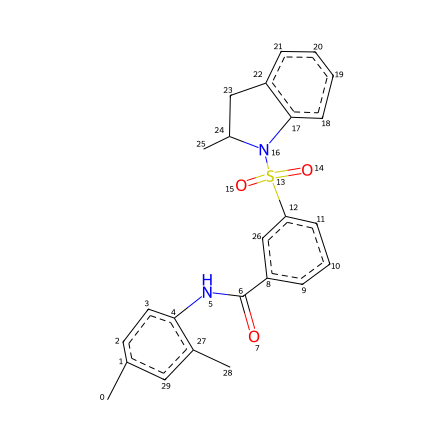 Cc1ccc(NC(=O)c2cccc(S(=O)(=O)N3c4ccccc4CC3C)c2)c(C)c1